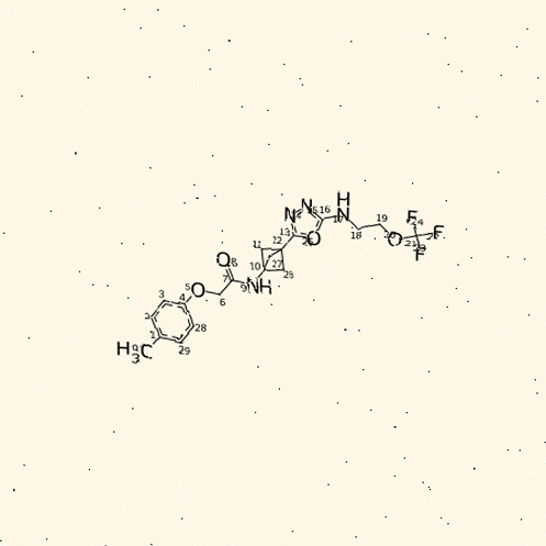 Cc1ccc(OCC(=O)NC23CC(c4nnc(NCCOC(F)(F)F)o4)(C2)C3)cc1